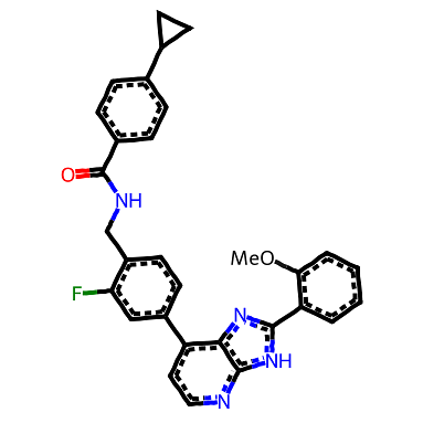 COc1ccccc1-c1nc2c(-c3ccc(CNC(=O)c4ccc(C5CC5)cc4)c(F)c3)ccnc2[nH]1